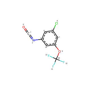 O=C=Nc1cc(Cl)cc(OC(F)(F)F)c1